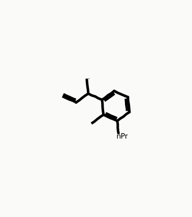 [CH2]C(C=C)c1cccc(CCC)c1C